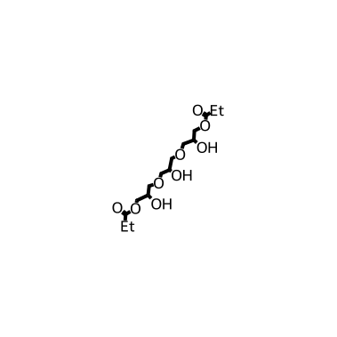 CCC(=O)OCC(O)COCC(O)COCC(O)COC(=O)CC